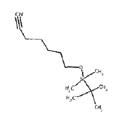 C#CCCCCCO[Si](C)(C)C(C)(C)C